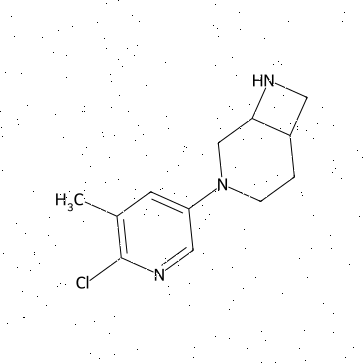 Cc1cc(N2CCC3CNC3C2)cnc1Cl